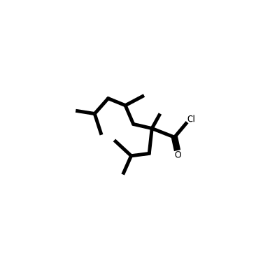 CC(C)CC(C)CC(C)(CC(C)C)C(=O)Cl